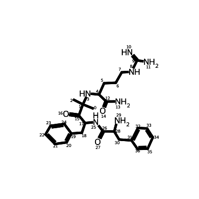 CC(C)(NC(CCCNC(=N)N)C(N)=O)C(=O)C(Cc1ccccc1)NC(=O)C(N)Cc1ccccc1